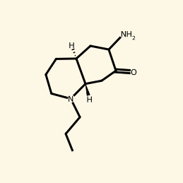 CCCN1CCC[C@H]2CC(N)C(=O)C[C@@H]21